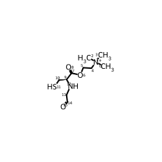 C[N+](C)(C)CCOC(=O)[C@H](CS)NCC=O